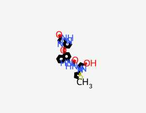 Cc1ccc(-n2nc(O)cc2NC(=O)Nc2ccc(Oc3ccnc4[nH]c(=O)cnc34)c3ccccc23)s1